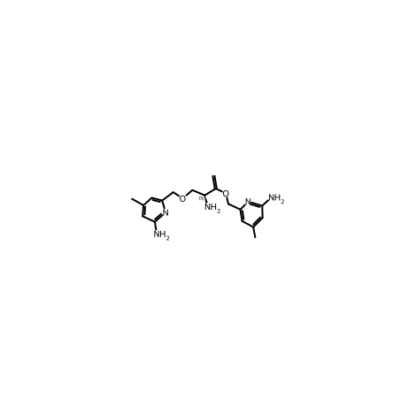 C=C(OCc1cc(C)cc(N)n1)[C@@H](N)COCc1cc(C)cc(N)n1